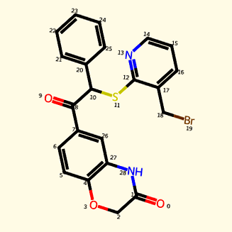 O=C1COc2ccc(C(=O)C(Sc3ncccc3CBr)c3ccccc3)cc2N1